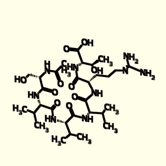 CC(=O)N[C@@H](CO)C(=O)N[C@H](C(=O)N[C@H](C(=O)N[C@H](C(=O)N[C@@H](CCCN=C(N)N)C(=O)N[C@H](C(=O)O)[C@@H](C)O)C(C)C)C(C)C)C(C)C